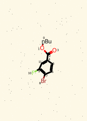 CCCCOC(=O)c1ccc(Br)c(F)c1